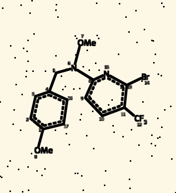 COc1ccc(CN(OC)c2ccc(C(F)(F)F)c(Br)n2)cc1